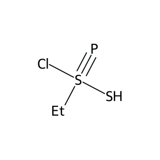 CCS(#P)(S)Cl